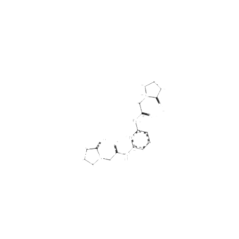 O=C(CN1CCCC1=O)Nc1cccc(NC(=O)CN2CCCC2=O)n1